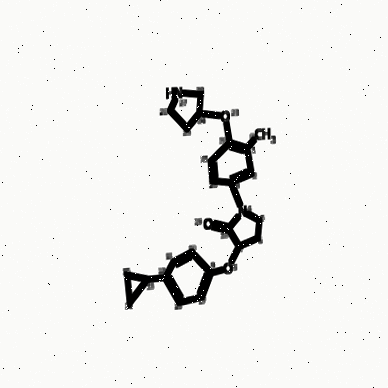 Cc1cc(N2CCC(Oc3ccc(C4CC4)cc3)C2=O)ccc1OC1CCNC1